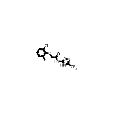 Cc1cccc(Cl)c1OCC(=O)Nc1nnc(C(F)(F)F)[nH]1